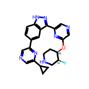 F[C@H]1CNCC[C@H]1Oc1cncc(-c2n[nH]c3ccc(-c4cncc(C5CC5)n4)cc23)n1